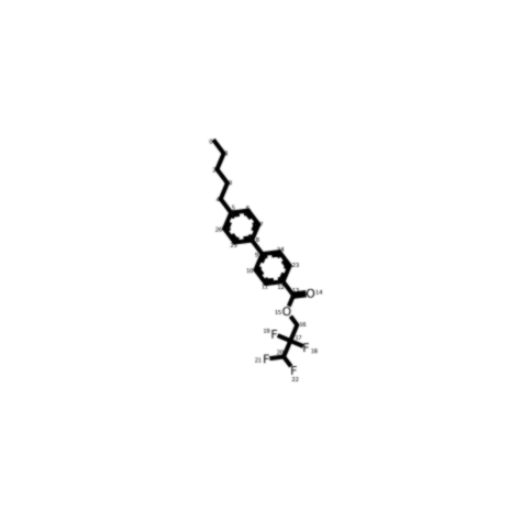 CCCCCc1ccc(-c2ccc(C(=O)OCC(F)(F)C(F)F)cc2)cc1